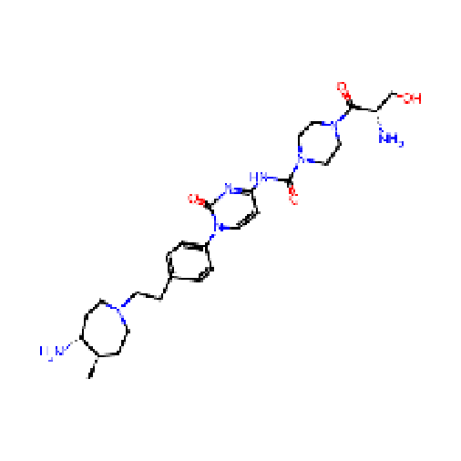 C[C@@H]1CCN(CCc2ccc(-n3ccc(NC(=O)N4CCN(C(=O)[C@@H](N)CO)CC4)nc3=O)cc2)CC[C@H]1N